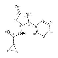 O=C1CC(NC(=O)C2CC2)C(c2ccccc2)N1